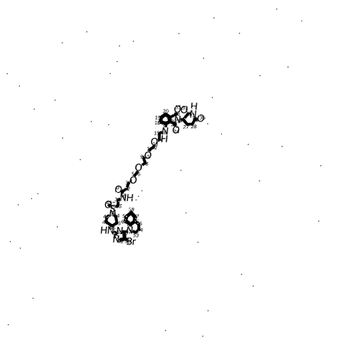 O=C(CCOCCOCCOCCOCCNc1cccc2c1C(=O)N(C1CCC(=O)NC1=O)C2=O)NCC[S+]([O-])N1CCC(Nc2ncc(Br)c(N3CCCc4ccccc43)n2)CC1